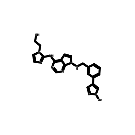 CC(=O)n1cc(-c2cccc(CNn3ccc4c(Nc5nccn5CCO)ncnc43)c2)cn1